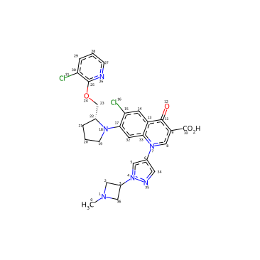 CN1CC(n2cc(-n3cc(C(=O)O)c(=O)c4cc(Cl)c(N5CCC[C@@H]5COc5ncccc5Cl)cc43)cn2)C1